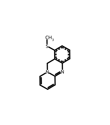 CSc1cccc2c1CN1C=CC=CC1=N2